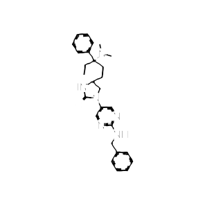 CN(C)[C@]1(c2ccccc2)CC[C@]2(CC1)CN(c1cnc(NCc3ccccc3)nc1)C(=O)N2